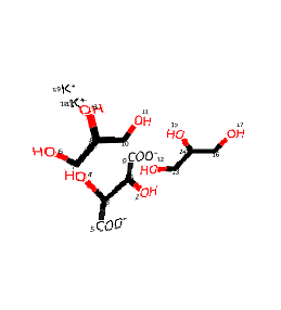 O=C([O-])C(O)C(O)C(=O)[O-].OCC(O)CO.OCC(O)CO.[K+].[K+]